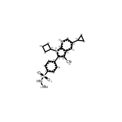 CC(C)(C)NS(=O)(=O)c1ccc(-c2c(C#N)c3cc(C4CC4)cnc3n2C2CCC2)cc1